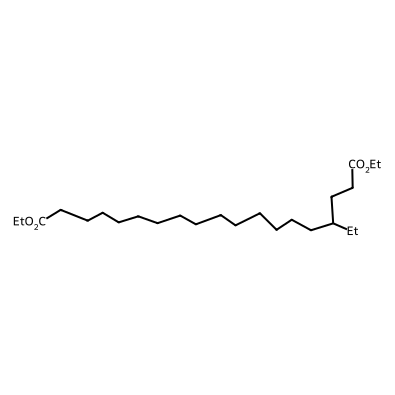 CCOC(=O)CCCCCCCCCCCCCCC(CC)CCC(=O)OCC